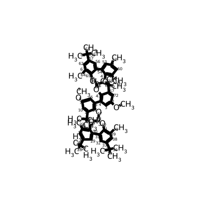 COc1cc(-c2cc(OC)cc(C(C)(C)C)c2Op2oc3c(C)cc(C(C)(C)C)cc3c3cc(C(C)(C)C)cc(C)c3o2)c(Op2oc3c(C)cc(C)cc3c3cc(C(C)(C)C)cc(C)c3o2)c(C(C)(C)C)c1